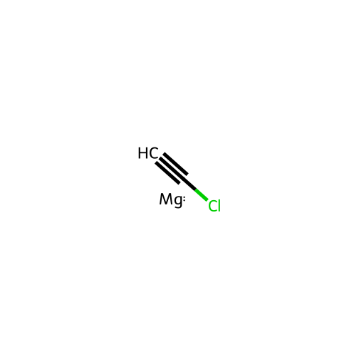 C#CCl.[Mg]